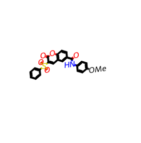 COc1ccc(NC(=O)c2ccc3oc(=O)c(S(=O)(=O)c4ccccc4)cc3c2)cc1